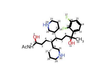 CC(=O)NC(O)CC[C@@H](C(CCC(C)(O)c1cccc(F)c1F)[C@H]1CCCNC1)[C@H]1CCCNC1